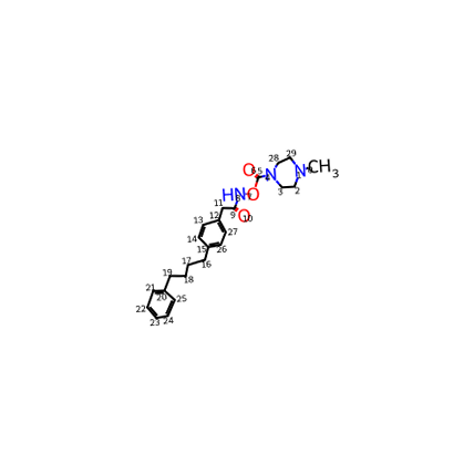 CN1CCN(C(=O)ONC(=O)Cc2ccc(CCCCc3ccccc3)cc2)CC1